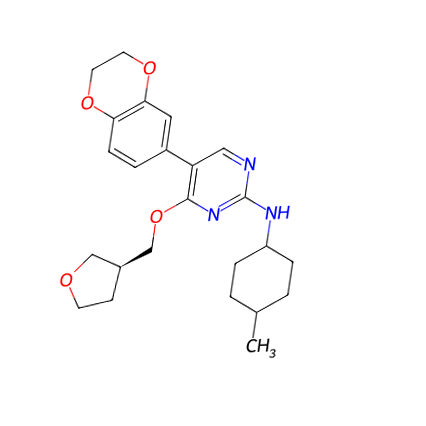 CC1CCC(Nc2ncc(-c3ccc4c(c3)OCCO4)c(OC[C@H]3CCOC3)n2)CC1